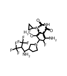 COC1=c2c(c(=O)[nH]c(=O)n2C2CC2)=C(N)C(F)C1N1CCC(C(N)C(C(F)(F)F)C(F)(F)F)C1